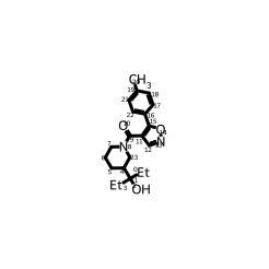 CCC(O)(CC)C1CCCN(C(=O)c2cnoc2-c2ccc(C)cc2)C1